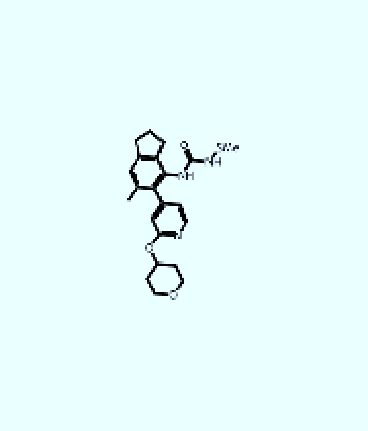 CSNC(=O)Nc1c2c(cc(C)c1-c1ccnc(OC3CCOCC3)c1)CCC2